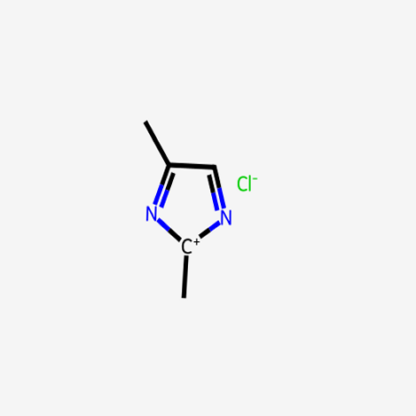 CC1=N[C+](C)N=C1.[Cl-]